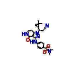 CN(C)S(=O)(=O)c1ccc(Nc2nn([C@H](CC#N)[C@H]3CC3(C)C)c3cc[nH]c(=O)c23)cc1